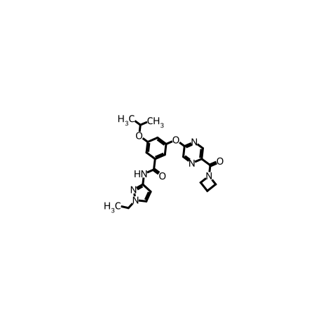 CCn1ccc(NC(=O)c2cc(Oc3cnc(C(=O)N4CCC4)cn3)cc(OC(C)C)c2)n1